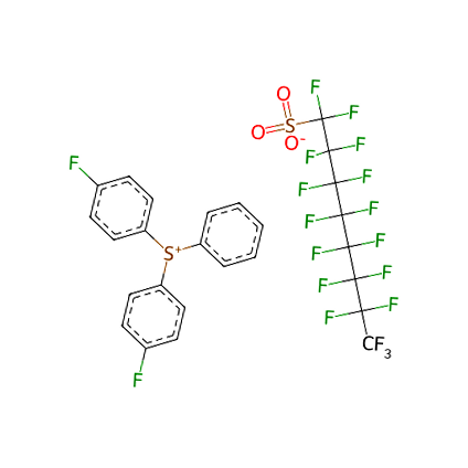 Fc1ccc([S+](c2ccccc2)c2ccc(F)cc2)cc1.O=S(=O)([O-])C(F)(F)C(F)(F)C(F)(F)C(F)(F)C(F)(F)C(F)(F)C(F)(F)C(F)(F)F